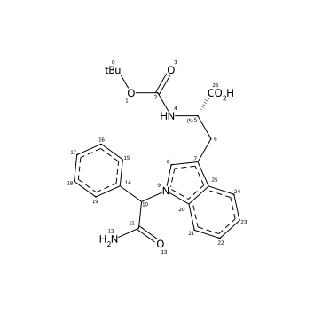 CC(C)(C)OC(=O)N[C@@H](Cc1cn(C(C(N)=O)c2ccccc2)c2ccccc12)C(=O)O